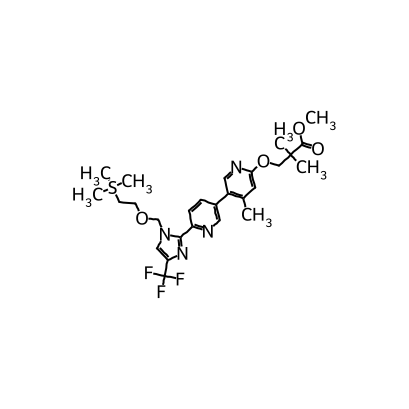 COC(=O)C(C)(C)COc1cc(C)c(-c2ccc(-c3nc(C(F)(F)F)cn3COCCS(C)(C)C)nc2)cn1